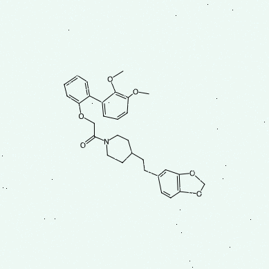 COc1cccc(-c2ccccc2OCC(=O)N2CCC(CCc3ccc4c(c3)OCO4)CC2)c1OC